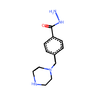 NNC(=O)c1ccc(CN2CCNCC2)cc1